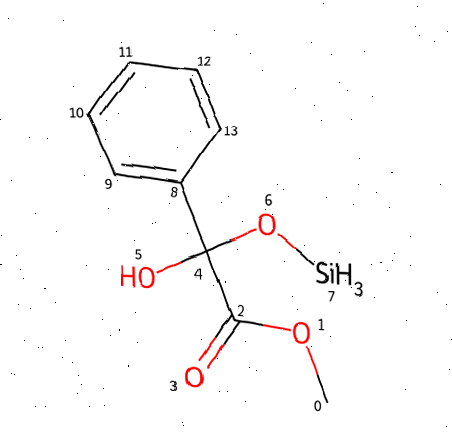 COC(=O)C(O)(O[SiH3])c1ccccc1